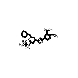 CCc1ncc(-c2noc([C@H](CCCC3CCCCC3)CC(=O)OC(C)(C)C)n2)cc1C(=O)O